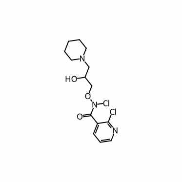 O=C(c1cccnc1Cl)N(Cl)OCC(O)CN1CCCCC1